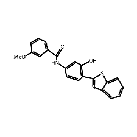 COc1cccc(C(=O)Nc2ccc(-c3nc4ccccc4s3)c(O)c2)c1